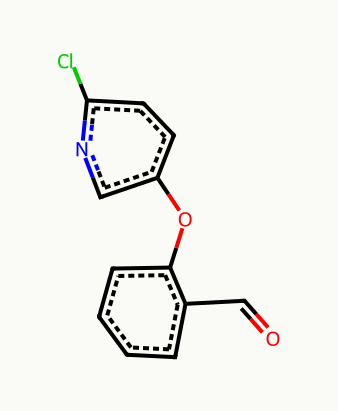 O=Cc1ccccc1Oc1ccc(Cl)nc1